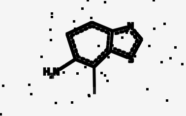 Nc1ccc2ncsc2c1I